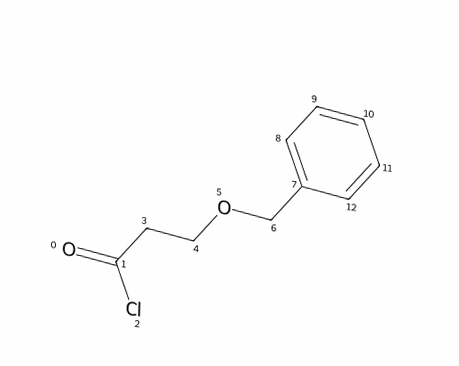 O=C(Cl)CCOCc1ccccc1